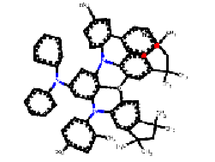 Cc1cc(C(C)(C)C)ccc1N1c2cc3c(cc2B2c4cc5c(cc4N(c4ccc(C(C)(C)C)cc4-c4ccccc4)c4cc(N(c6ccccc6)c6ccccc6)cc1c42)C(C)(C)CC5(C)C)C(C)(C)CC3(C)C